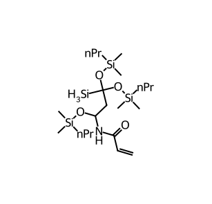 C=CC(=O)NC(CC([SiH3])(O[Si](C)(C)CCC)O[Si](C)(C)CCC)O[Si](C)(C)CCC